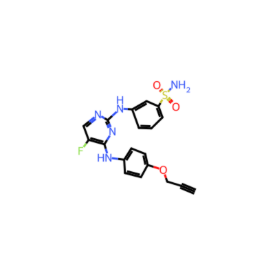 C#CCOc1ccc(Nc2nc(Nc3cccc(S(N)(=O)=O)c3)ncc2F)cc1